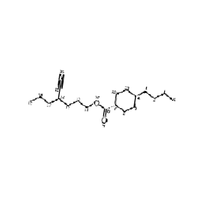 CCCC[C@H]1CC[C@H](C(=O)OCCCC(C#N)CCC)CC1